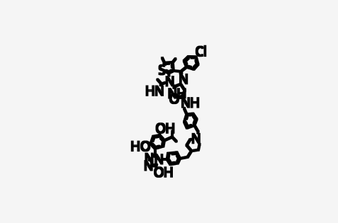 CC(=N)N1C(=N)C(CC(=O)NCc2ccc(CN3CCC(Cc4ccc(-n5c(O)nnc5-c5cc(C(C)C)c(O)cc5O)cc4)CC3)cc2)N=C(c2ccc(Cl)cc2)c2c1sc(C)c2C